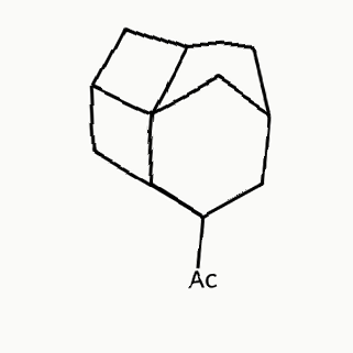 CC(=O)C12CC3CC4CC(C1)C4(C3)C2